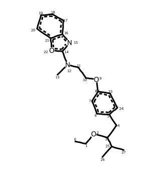 CCOC(Cc1ccc(OCCN(C)c2nc3ccccc3o2)cc1)C(C)C